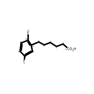 O=C(O)CCCCCc1cc(F)ccc1F